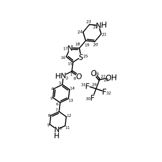 O=C(Nc1ccc(C2=CCNCC2)cc1)c1cnc(C2=CCNCC2)s1.O=C(O)C(F)(F)F